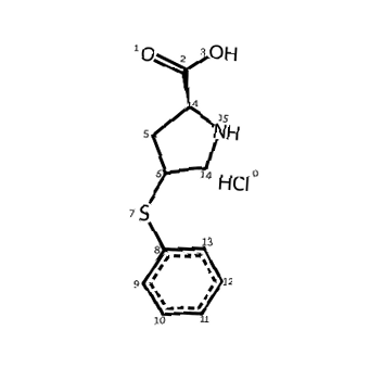 Cl.O=C(O)[C@@H]1CC(Sc2ccccc2)CN1